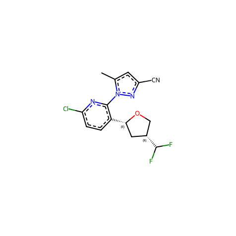 Cc1cc(C#N)nn1-c1nc(Cl)ccc1[C@H]1C[C@@H](C(F)F)CO1